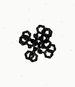 c1ccc(O[PH](Oc2ccccc2)(Oc2ccccc2)[Pd]([PH](Oc2ccccc2)(Oc2ccccc2)Oc2ccccc2)([PH](Oc2ccccc2)(Oc2ccccc2)Oc2ccccc2)[PH](Oc2ccccc2)(Oc2ccccc2)Oc2ccccc2)cc1